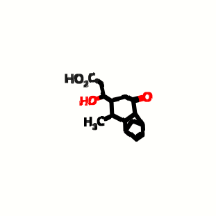 CC1C(C(O)CC(=O)O)CC(=O)C2C3C=CC(C3)C12